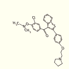 CN(C)Oc1ccc(C(=O)c2c(-c3ccc(OCCN4CCCC4)cc3)sc3ccccc23)cc1Cl